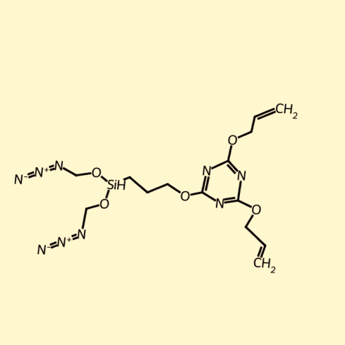 C=CCOc1nc(OCC=C)nc(OCCC[SiH](OCN=[N+]=[N-])OCN=[N+]=[N-])n1